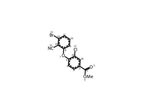 COC(=O)c1ccc(Oc2cccc(Br)c2C#N)c(Cl)c1